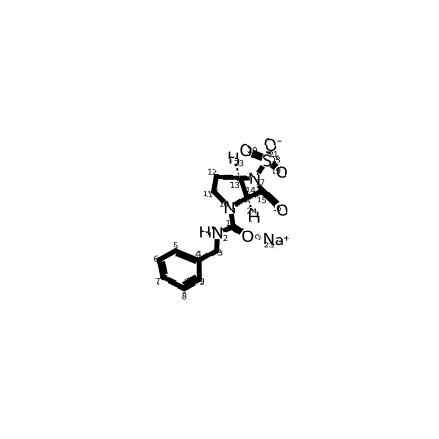 O=C(NCc1ccccc1)N1CC[C@@H]2[C@H]1C(=O)N2S(=O)(=O)[O-].[Na+]